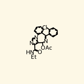 CCNC(=O)c1ncn2c1C(OC(C)=O)N=C(c1ccccc1Cl)c1ccccc1-2